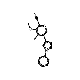 COc1c(C#N)ncc(-c2ccn(-c3ccccc3)c2)c1C